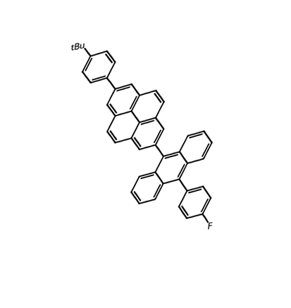 CC(C)(C)c1ccc(-c2cc3ccc4cc(-c5c6ccccc6c(-c6ccc(F)cc6)c6ccccc56)cc5ccc(c2)c3c45)cc1